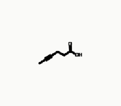 CC#CCCC(=O)O